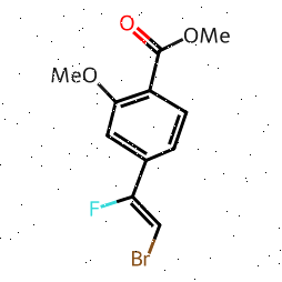 COC(=O)c1ccc(/C(F)=C/Br)cc1OC